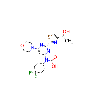 CC(O)c1csc(-c2nc(N3CCOCC3)cc(N(C(=O)O)C3CCC(F)(F)CC3)n2)n1